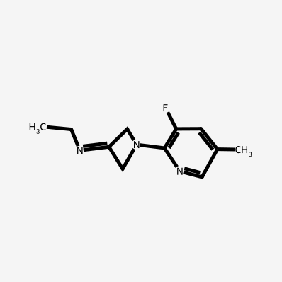 CCN=C1CN(c2ncc(C)cc2F)C1